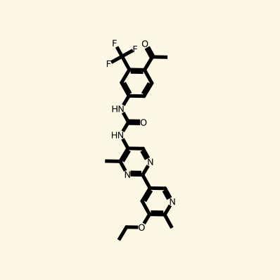 CCOc1cc(-c2ncc(NC(=O)Nc3ccc(C(C)=O)c(C(F)(F)F)c3)c(C)n2)cnc1C